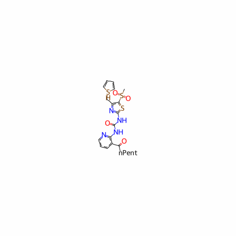 CCCCCC(=O)c1cccnc1NC(=O)Nc1nc(C[SH]2C=CC=C2)c(S(C)(=O)=O)s1